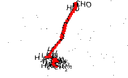 C=CCNC(=C)C(CCC(NC(=C)CNC(=C)C(CCC)NC(=C)CNC(=C)CNC(=C)CNC)C(=C)C)NC(=C)CCCCCCCCCCCCCCCCCCCCCCCCCCCCCCCCCCCCCCNC(=O)c1cccc(C=O)c1